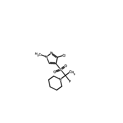 Cn1cc(S(=O)(=O)C(C)(F)N2CCCCC2)c(Cl)n1